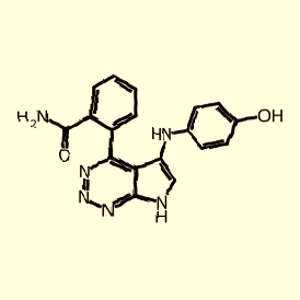 NC(=O)c1ccccc1-c1nnnc2[nH]cc(Nc3ccc(O)cc3)c12